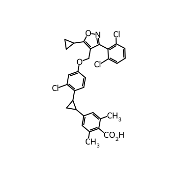 Cc1cc(C2CC2c2ccc(OCc3c(-c4c(Cl)cccc4Cl)noc3C3CC3)cc2Cl)cc(C)c1C(=O)O